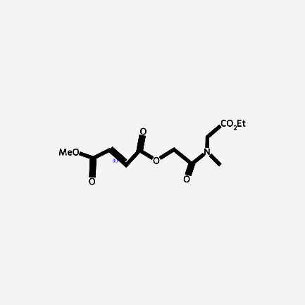 CCOC(=O)CN(C)C(=O)COC(=O)/C=C/C(=O)OC